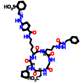 O=C(O)C[C@@H]1NC(=O)CNC(=O)[C@H](CCCNC(=O)NCc2ccccc2)NC(=O)[C@H](CCCCNC(=O)c2ccc(N/N=C/c3ccccc3S(=O)(=O)O)nc2)NC(=O)[C@@H](Cc2ccccc2)NC1=O